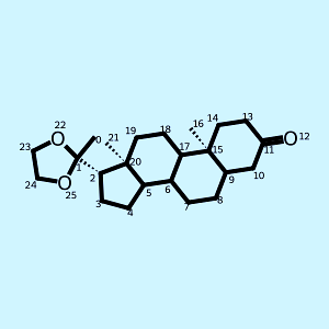 CC1([C@H]2CCC3C4CCC5CC(=O)CC[C@]5(C)C4CC[C@@]32C)OCCO1